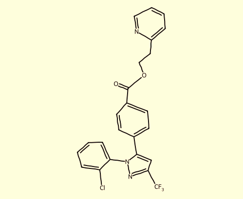 O=C(OCCc1ccccn1)c1ccc(-c2cc(C(F)(F)F)nn2-c2ccccc2Cl)cc1